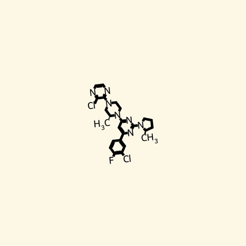 C[C@@H]1CN(c2nccnc2Cl)CCN1c1cc(-c2ccc(F)c(Cl)c2)nc(N2CCC[C@H]2C)n1